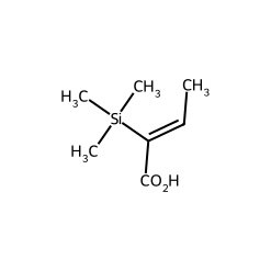 C/C=C(/C(=O)O)[Si](C)(C)C